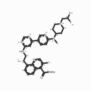 CNC(=O)c1c(F)cnc2c([C@H](C)CNc3cc(-c4ccc(N(C)C5CCN(CC(F)F)CC5)nc4)ncn3)cccc12